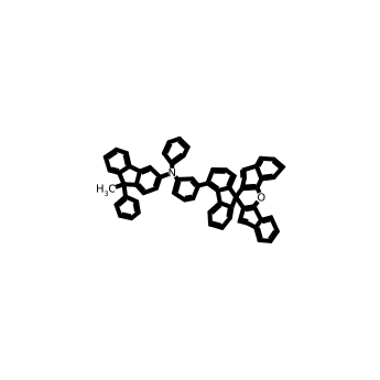 CC1(c2ccccc2)c2ccccc2-c2cc(N(c3ccccc3)c3cccc(-c4cccc5c4-c4ccccc4C54c5ccc6ccccc6c5Oc5c4ccc4ccccc54)c3)ccc21